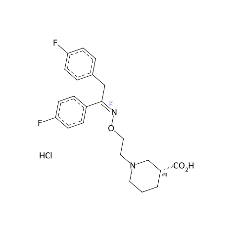 Cl.O=C(O)[C@@H]1CCCN(CCO/N=C(/Cc2ccc(F)cc2)c2ccc(F)cc2)C1